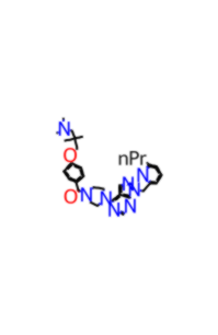 CCCc1cccc(Cn2ncc3c(N4CCN(C(=O)c5ccc(OCC(C)(C)CN(C)C)cc5)CC4)ncnc32)n1